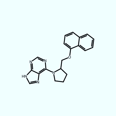 c1ccc2c(OCC3CCCN3c3ncnc4[nH]cnc34)cccc2c1